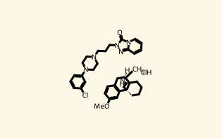 COc1ccc2c(c1)[C@]13CCCC[C@@H]1[C@H](C2)N(C)CC3.Cl.O=c1n(CCCN2CCN(c3cccc(Cl)c3)CC2)nc2ccccn12